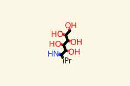 CC(C)C(=N)C(O)C(O)C(O)C(O)CO